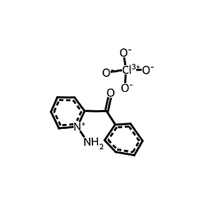 N[n+]1ccccc1C(=O)c1ccccc1.[O-][Cl+3]([O-])([O-])[O-]